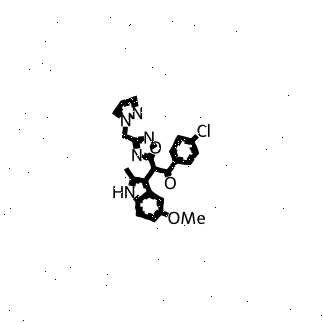 COc1ccc2[nH]c(C)c(C(C(=O)c3ccc(Cl)cc3)c3nc(Cn4cccn4)no3)c2c1